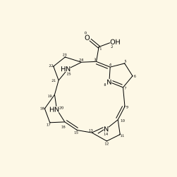 O=C(O)C1=C2CCC(=N2)C=C2CCC(=N2)C=C2CCC(N2)C2CCC1N2